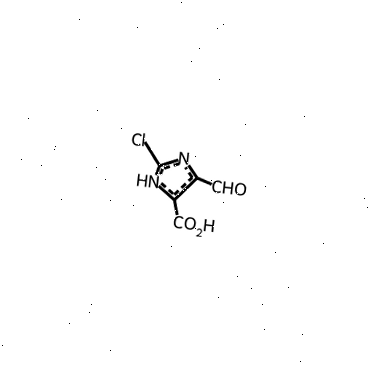 O=Cc1nc(Cl)[nH]c1C(=O)O